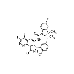 CC1(C(F)(F)F)CN(C(=O)Nc2cc3c(I)c(I)nnc3c3c2C(c2cc(F)ccc2Cl)NC3=O)c2ccc(F)cc21